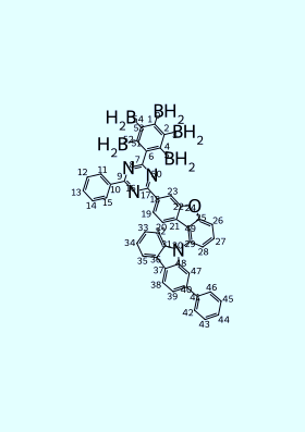 Bc1c(B)c(B)c(-c2nc(-c3ccccc3)nc(-c3ccc4c(c3)oc3cccc(-n5c6ccccc6c6ccc(-c7ccccc7)cc65)c34)n2)c(B)c1B